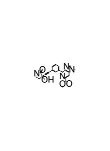 COC(=O)c1cc2c(ncn2C)c(-c2cccc(C#C[C@]3(O)CCN(C)C3=O)c2)n1